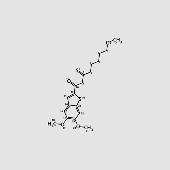 COCCCCCC(=S)CC(=O)c1cc2cc(OC)c(OC)cc2s1